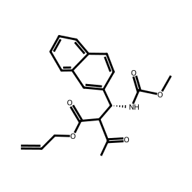 C=CCOC(=O)C(C(C)=O)[C@@H](NC(=O)OC)c1ccc2ccccc2c1